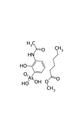 CC(=O)Nc1cccc([As](=O)(O)O)c1O.CCCCCC(=O)OC